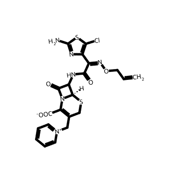 C=CCO/N=C(\C(=O)NC1C(=O)N2C(C(=O)[O-])=C(C[n+]3ccccc3)CS[C@H]12)c1nc(N)sc1Cl